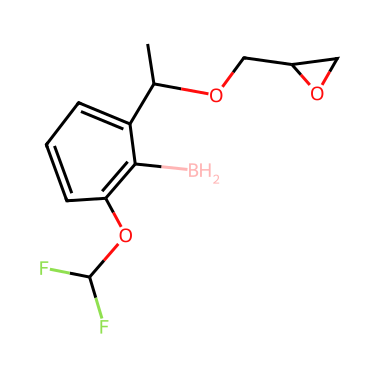 Bc1c(OC(F)F)cccc1C(C)OCC1CO1